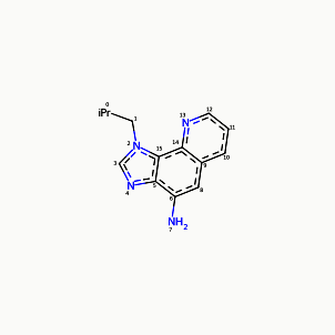 CC(C)Cn1cnc2c(N)cc3cccnc3c21